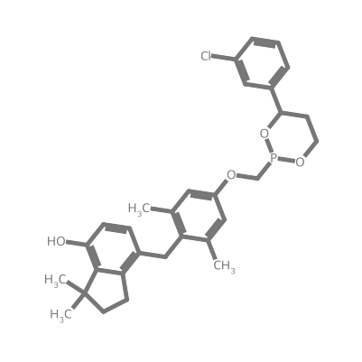 Cc1cc(OCP2OCCC(c3cccc(Cl)c3)O2)cc(C)c1Cc1ccc(O)c2c1CCC2(C)C